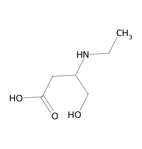 CCNC(CO)CC(=O)O